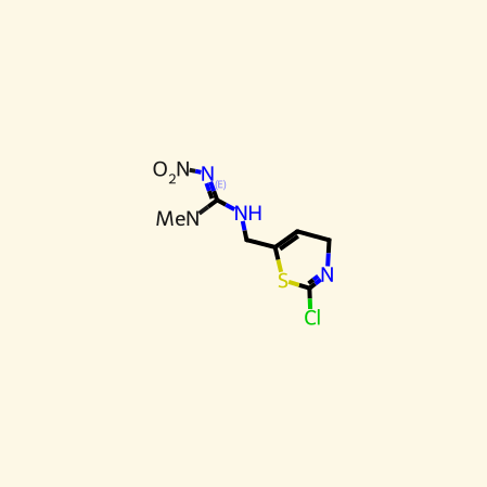 CN/C(=N\[N+](=O)[O-])NCC1=CCN=C(Cl)S1